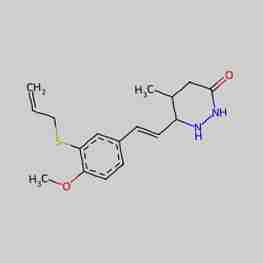 C=CCSc1cc(/C=C/C2NNC(=O)CC2C)ccc1OC